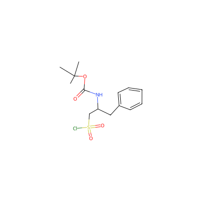 CC(C)(C)OC(=O)NC(Cc1ccccc1)CS(=O)(=O)Cl